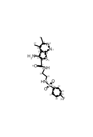 Cc1nnc2sc(C(=O)NCCNS(=O)(=O)c3ccc(F)cc3)c(N)c2c1C